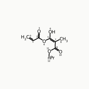 C=CC(=O)OC(O)=C(C)C(=O)OCCC